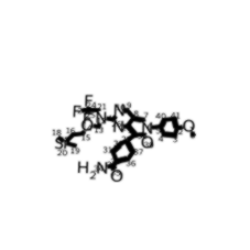 COc1ccc(-n2cc3cnc(N(COCC[Si](C)(C)C)CC(F)(F)F)nc3c(-c3ccc(C(N)=O)cc3)c2=O)cc1